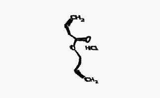 C=CCOC(=O)C=C.Cl